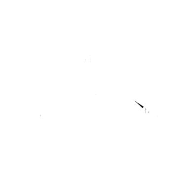 N[C@@H]1CCc2c(-c3c(Cl)cccc3Cl)cccc21